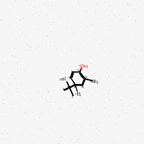 CCCC(C)(C)C1(CC)C=CC(O)=C(C(C)C)C1